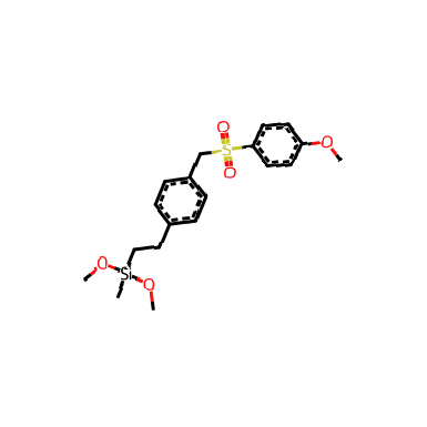 COc1ccc(S(=O)(=O)Cc2ccc(CC[Si](C)(OC)OC)cc2)cc1